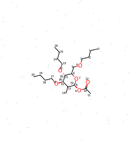 CCCCOCC1O[C@@H](OC(C)=O)C(C)[C@@H](OCCCC)[C@@H]1OCCCC